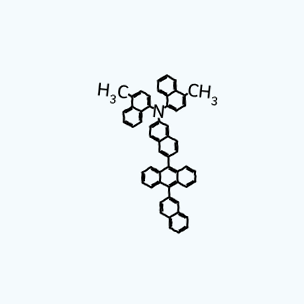 Cc1ccc(N(c2ccc3cc(-c4c5ccccc5c(-c5ccc6ccccc6c5)c5ccccc45)ccc3c2)c2ccc(C)c3ccccc23)c2ccccc12